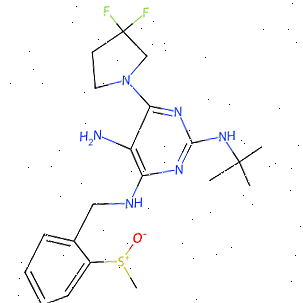 C[S+]([O-])c1ccccc1CNc1nc(NC(C)(C)C)nc(N2CCC(F)(F)C2)c1N